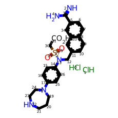 Cl.Cl.N=C(N)c1ccc2ccc(CN(c3ccc(N4CCCNCC4)cc3)S(=O)(=O)CC(=O)O)cc2c1